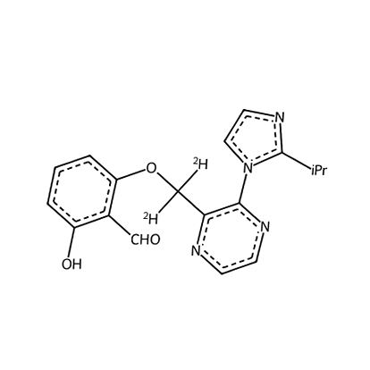 [2H]C([2H])(Oc1cccc(O)c1C=O)c1nccnc1-n1ccnc1C(C)C